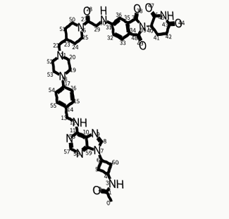 CC(=O)NC1CC(n2cnc3c(NCc4ccc(N5CCN(CC6CCN(C(=O)CNc7ccc8c(c7)C(=O)N([C@H]7CCC(=O)NC7=O)C8=O)CC6)CC5)cc4)ncnc32)C1